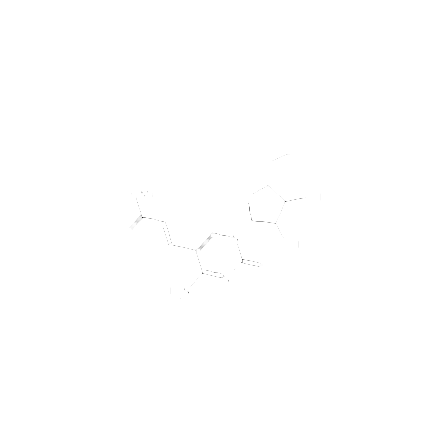 COC(=O)/C=C/c1cn([C@@H]2O[C@H](CO)C(O)C2O)c(=O)nc1N